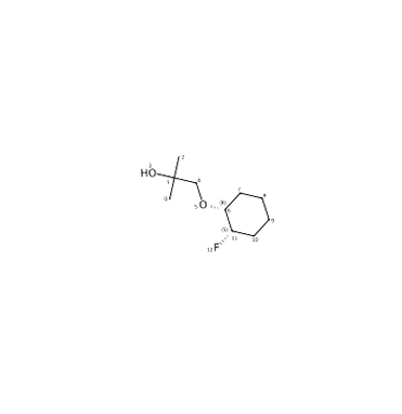 CC(C)(O)CO[C@@H]1CCCC[C@@H]1F